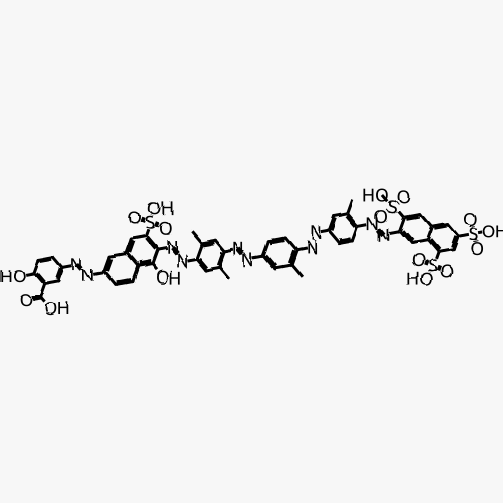 Cc1cc(N=Nc2cc(C)c(N=Nc3c(S(=O)(=O)O)cc4cc(N=Nc5ccc(O)c(C(=O)O)c5)ccc4c3O)cc2C)ccc1N=Nc1ccc(N=Nc2cc3c(S(=O)(=O)O)cc(S(=O)(=O)O)cc3cc2S(=O)(=O)O)c(C)c1